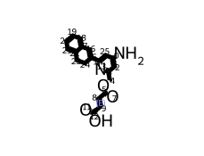 Nc1cc(COC(=O)/C=C/C(=O)O)nc(C2=Cc3ccccc3CC2)c1